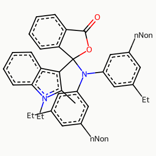 CCCCCCCCCc1cc(CC)cc(N(c2cc(CC)cc(CCCCCCCCC)c2)C2(c3c(C)n(CC)c4ccccc34)OC(=O)c3ccccc32)c1